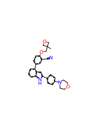 CC1(COc2ccc(-c3cccc4[nH]c(-c5ccc(N6CCOCC6)cc5)cc34)cc2C#N)COC1